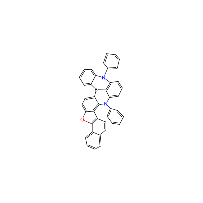 c1ccc(N2c3ccccc3B3c4ccc5oc6c7ccccc7ccc6c5c4N(c4ccccc4)c4cccc2c43)cc1